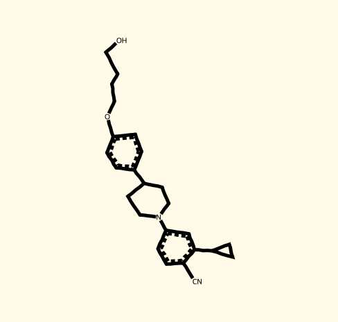 N#Cc1ccc(N2CCC(c3ccc(OCCCCO)cc3)CC2)cc1C1CC1